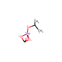 CC(C)O[PH]12OC(O1)O2